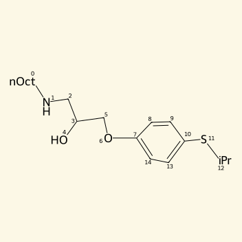 CCCCCCCCNCC(O)COc1ccc(SC(C)C)cc1